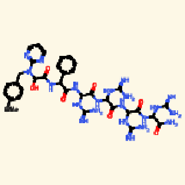 COc1ccc(CN(c2ncccn2)C(O)C(=O)NC(C(=O)NC(NC(=N)N)C(=O)NC(NC(=N)N)C(=O)NC(NC(=N)N)C(=O)NC(NC(=N)N)C(N)=O)c2ccccc2)cc1